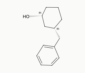 O[C@@H]1CCC[C@H](Cc2ccccc2)C1